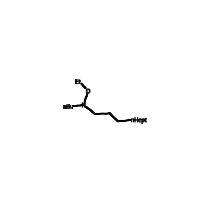 CCCCCCCCCCN(CCCC)OCC